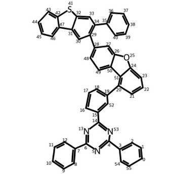 c1ccc(-c2nc(-c3ccccc3)nc(-c3cccc(-c4cccc5oc6cc(-c7cc8c(cc7-c7ccccc7)sc7ccccc78)ccc6c45)c3)n2)cc1